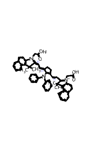 CC1(C)C(/C=C/C2=C(N(c3ccccc3)c3ccccc3)C(=C/C=C3/N(CC(=O)O)c4ccc5ccccc5c4C3(C)C)/CC2)=[N+](CC(=O)O)c2ccc3ccccc3c21